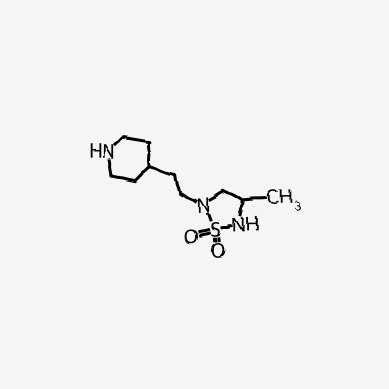 CC1CN(CCC2CCNCC2)S(=O)(=O)N1